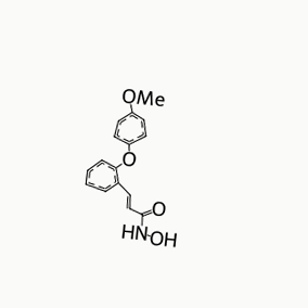 COc1ccc(Oc2ccccc2C=CC(=O)NO)cc1